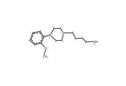 COc1ccccc1N1CCN(CCCCO)CC1